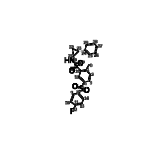 Cc1ccc(S(=O)(=O)c2ccc(F)cc2)cc1S(=O)(=O)N[C@H]1C[C@@H]1c1ccccc1